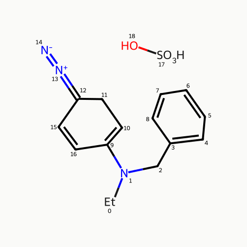 CCN(Cc1ccccc1)C1=CCC(=[N+]=[N-])C=C1.O=S(=O)(O)O